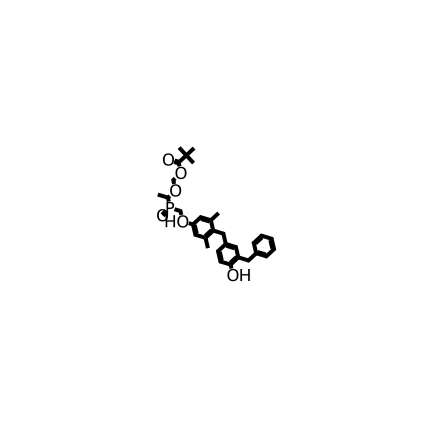 Cc1cc(OC[PH](=O)C(C)OCOC(=O)C(C)(C)C)cc(C)c1Cc1ccc(O)c(Cc2ccccc2)c1